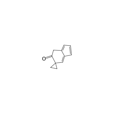 O=C1CC2=CC=CC2=CC12CC2